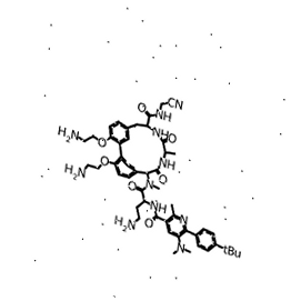 Cc1nc(-c2ccc(C(C)(C)C)cc2)c(N(C)C)cc1C(=O)NC(CCN)C(=O)N(C)C1C(=O)NC(C)C(=O)NC(C(=O)NCC#N)Cc2ccc(OCCN)c(c2)-c2cc1ccc2OCCN